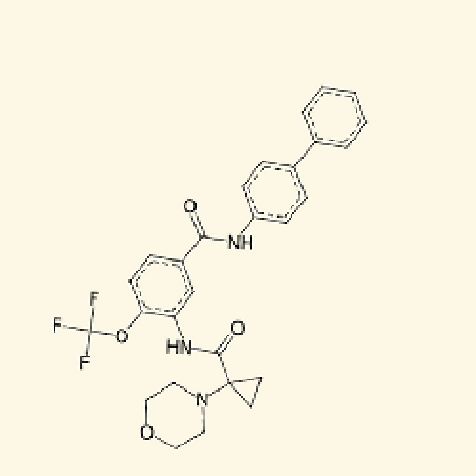 O=C(Nc1ccc(-c2ccccc2)cc1)c1ccc(OC(F)(F)F)c(NC(=O)C2(N3CCOCC3)CC2)c1